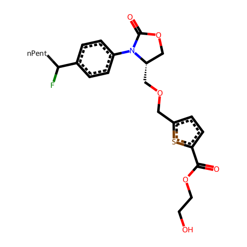 CCCCCC(F)c1ccc(N2C(=O)OC[C@@H]2COCc2ccc(C(=O)OCCO)s2)cc1